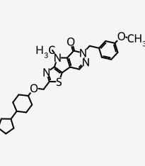 COc1cccc(Cn2ncc3c4sc(COC5CCC(C6CCCC6)CC5)nc4n(C)c3c2=O)c1